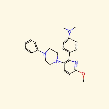 COc1ccc(N2CCN(c3ccccc3)CC2)c(-c2ccc(N(C)C)cc2)n1